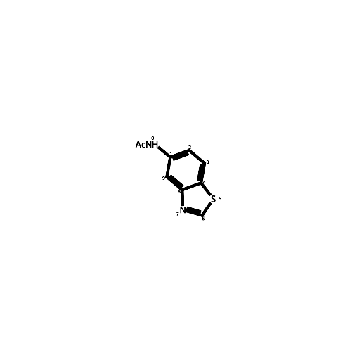 CC(=O)Nc1ccc2scnc2c1